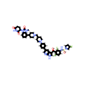 Cn1c(=O)n(C2CCC(=O)NC2=O)c2cccc(C3CCN(CC4CCN(c5ccc(-c6cnc7[nH]cc(C(=O)c8c(F)ccc(N[S+]([O-])N9CCC(F)C9)c8F)c7c6)cc5)CC4)CC3)c21